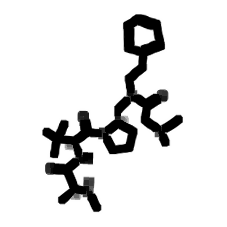 CN[C@@H](C)C(=O)N[C@H](C(=O)N1CCC[C@H]1CN(CCc1ccccc1)C(=O)CN(C)C)C(C)(C)C